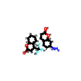 Nc1ccc2ccc(=O)oc2c1.O=c1cc(C(F)(F)F)c2ccccc2o1